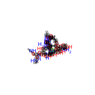 CCNCCOc1ccc(NC(=O)Oc2cc(C)c3c(c2)[C@@H](C(=O)O)NC(=O)[C@H]2NC(=O)[C@H](NC(=O)[C@@H]4NC(=O)[C@H](CC(N)=O)NC(=O)[C@H](NC(=O)[C@@H](CC(C)C)NC)[C@H](O)c5ccc(c(C)c5)Oc5cc4cc(c5O[C@@H]4O[C@H](CO)[C@@H](O)[C@H](O)[C@H]4O[C@H]4C[C@](C)(N)[C@H](O)[C@H](C)O4)Oc4ccc(cc4Cl)[C@H]2O)c2ccc(O)c-3c2)c(OCCNCC)c1